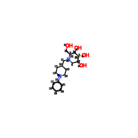 OC[C@H]1[C@@H](O)[C@H](O)[C@@H](O)CN1CC1CCN(c2ccccc2)CC1